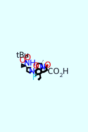 C=Cc1c(F)c(N2CC[C@@H](C3(NC(=O)OC(C)(C)C)CC3)C2)c2c3c1cc(C(=O)O)c(=O)n3[C@@H](C)CO2